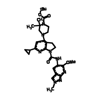 COc1nc2nn(C)cc2cc1NC(=O)N1CCc2c(N3CCN(C(=O)OC(C)(C)C)C(C)(C)C3)cc(C3CC3)nc21